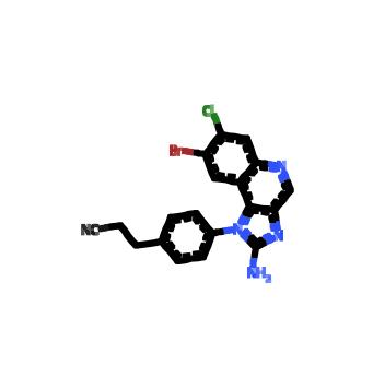 N#CCCc1ccc(-n2c(N)nc3cnc4cc(Cl)c(Br)cc4c32)cc1